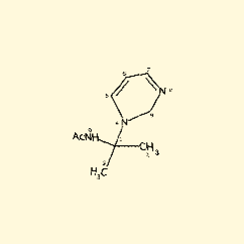 CC(=O)NC(C)(C)N1C=CC=NC1